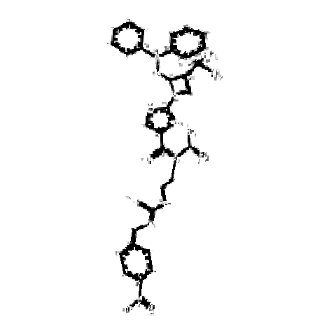 CC(C)N(CCNC(=O)OCc1ccc([N+](=O)[O-])cc1)C(=O)c1csc(N2CC(C(C)(C)C)C2O[SiH](c2ccccc2)c2ccccc2)n1